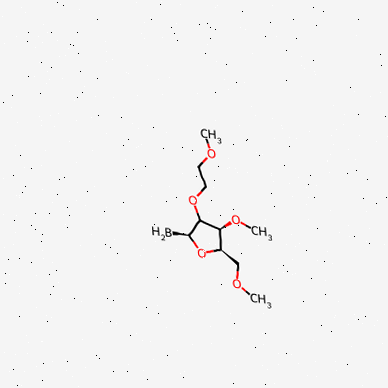 B[C@@H]1O[C@H](COC)[C@H](OC)C1OCCOC